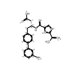 C=C(C)c1ncc(C(=O)N[C@@H](CC(=O)O)Cc2ccc(-c3cccc(N)c3)cc2)o1